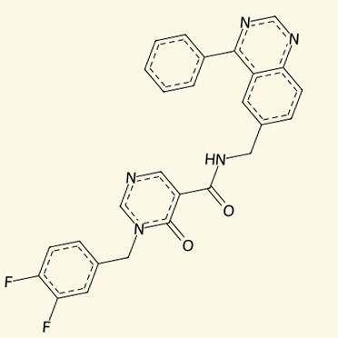 O=C(NCc1ccc2ncnc(-c3ccccc3)c2c1)c1cncn(Cc2ccc(F)c(F)c2)c1=O